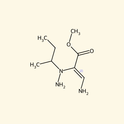 CCC(C)N(N)/C(=C\N)C(=O)OC